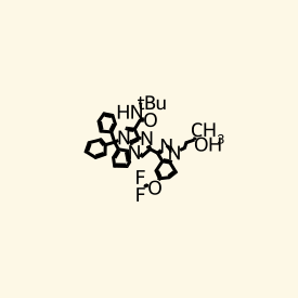 CC(O)CCn1nc(-c2cnc3c(n2)c(C(=O)NC(C)(C)C)cn3C(c2ccccc2)(c2ccccc2)c2ccccc2)c2cc(OC(F)F)ccc21